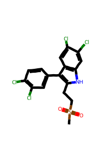 CS(=O)(=O)CCc1[nH]c2cc(Cl)c(Cl)cc2c1-c1ccc(Cl)c(Cl)c1